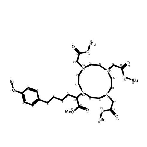 CCOc1ccc(CCCCC(C(=O)OC)N2CCN(CC(=O)OC(C)(C)C)CCN(CC(=O)OC(C)(C)C)CCN(CC(=O)OC(C)(C)C)CC2)cc1